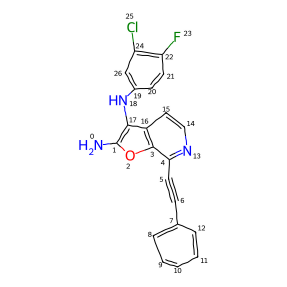 Nc1oc2c(C#Cc3ccccc3)nccc2c1Nc1ccc(F)c(Cl)c1